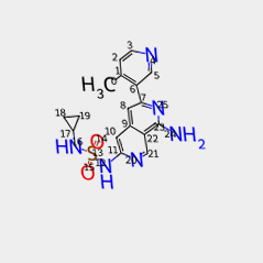 Cc1ccncc1-c1cc2cc(NS(=O)(=O)NC3CC3)ncc2c(N)n1